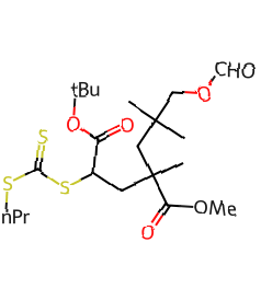 CCCSC(=S)SC(CC(C)(CC(C)(C)COC=O)C(=O)OC)C(=O)OC(C)(C)C